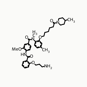 COc1cc(C(=O)N(C)c2ccc(C)cc2OCCCCCC(=O)N2CCC(C)CC2)ccc1NC(=O)c1ccccc1OCCCN